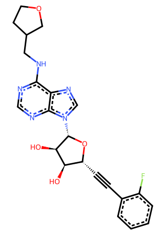 O[C@@H]1[C@H](O)[C@@H](C#Cc2ccccc2F)O[C@H]1n1cnc2c(NCC3CCOC3)ncnc21